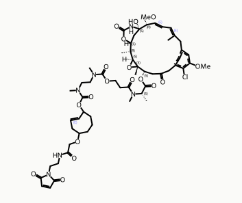 COc1cc2cc(c1Cl)CC(=O)C[C@H](OC(=O)[C@H](C)N(C)C(=O)CCOC(=O)N(C)CCN(C)C(=O)OC1/C=C/CC(OCC(=O)NCCN3C(=O)C=CC3=O)CCC1)[C@]1(C)O[C@H]1[C@H](C)[C@@H]1C[C@@](O)(NC(=O)O1)[C@H](OC)/C=C/C=C(\C)C2